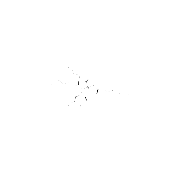 CCCCOC(=O)CC(OC(C)=O)(C(=O)OCCCC)C(OCC(O)CO)C(=O)OCCCC